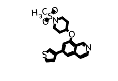 CS(=O)(=O)N1CCC(Oc2cc(-c3ccsc3)cc3ccncc23)CC1